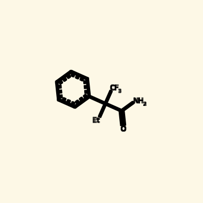 CCC(C(N)=O)(c1ccccc1)C(F)(F)F